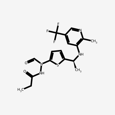 CCC(=O)NN(C=O)c1ccc([C@H](C)Nc2cc(C(F)(F)F)cnc2C)s1